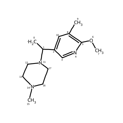 [CH2]C(c1cnc(OC)c(C)c1)N1CCN(C)CC1